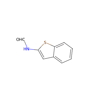 O=CNc1cc2ccccc2s1